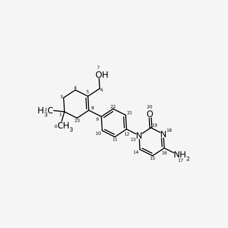 CC1(C)CCC(CO)=C(c2ccc(-n3ccc(N)nc3=O)cc2)C1